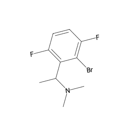 CC(c1c(F)ccc(F)c1Br)N(C)C